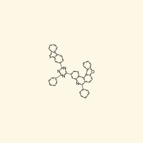 c1ccc(-c2nc(-c3ccc4c(c3)nc(-c3ccccc3)c3ccc5oc6ccccc6c5c34)nc(-c3ccc4c(c3)sc3ccccc34)n2)cc1